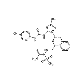 CC(C)(C)c1cc(NC(=O)Nc2ccc(Cl)cc2)n(-c2cc(CNN(C(N)=O)S(C)(=O)=O)c3ccccc3c2)n1